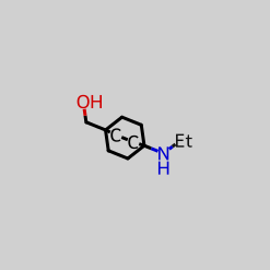 CCNC12CCC(CO)(CC1)CC2